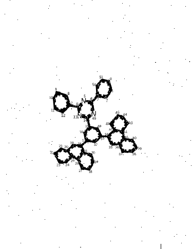 c1ccc(-c2nc(-c3ccccc3)nc(-c3cc(-c4cc5ccccc5c5ccccc45)cc(-c4cc5ccccc5c5ccccc45)c3)n2)cc1